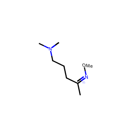 CO/N=C(/C)CCCN(C)C